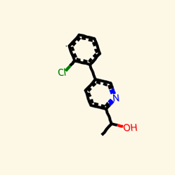 CC(O)c1ccc(-c2ccc[c]c2Cl)cn1